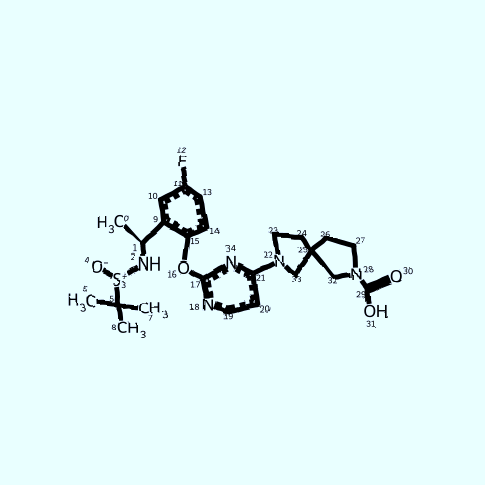 C[C@H](N[S+]([O-])C(C)(C)C)c1cc(F)ccc1Oc1nccc(N2CCC3(CCN(C(=O)O)C3)C2)n1